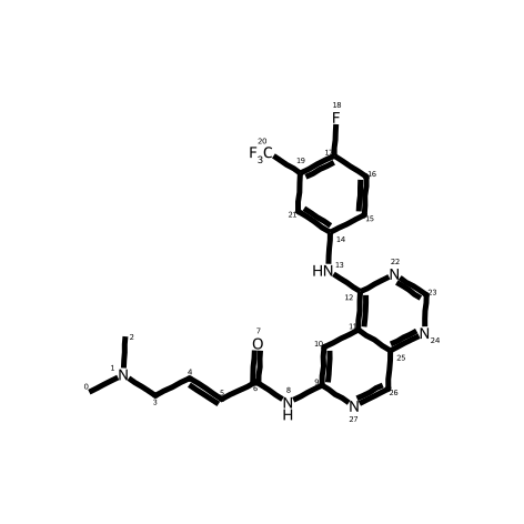 CN(C)C/C=C/C(=O)Nc1cc2c(Nc3ccc(F)c(C(F)(F)F)c3)ncnc2cn1